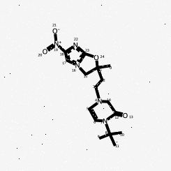 CC1(CCN2C=CN(C(C)(C)C)C(=O)C2)Cn2cc([N+](=O)[O-])nc2O1